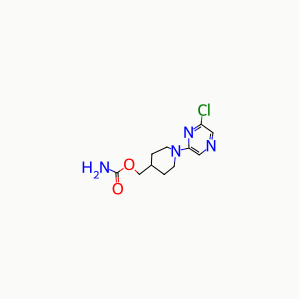 NC(=O)OCC1CCN(c2cncc(Cl)n2)CC1